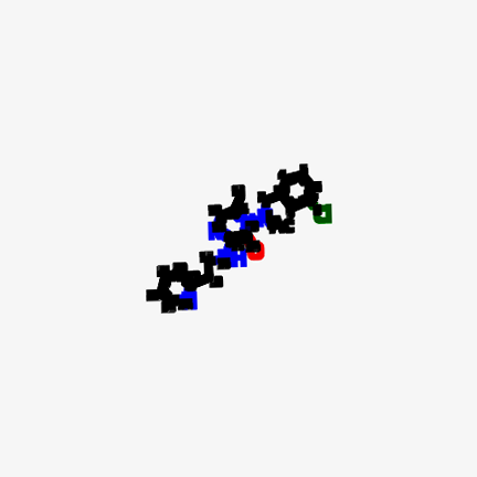 CC(=O)N(Cc1cccc(Cl)c1)n1c(C)cnc(NCCc2ccccn2)c1=O